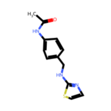 CC(=O)Nc1ccc(CNc2nccs2)cc1